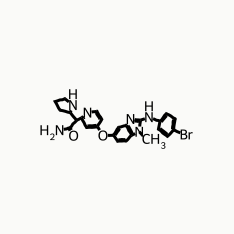 Cn1c(Nc2ccc(Br)cc2)nc2cc(Oc3ccnc(C(C(N)=O)C4CCCN4)c3)ccc21